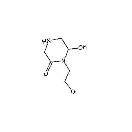 [O]CCN1C(=O)CNCC1O